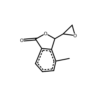 Cc1cccc2c1C(C1CO1)OC2=O